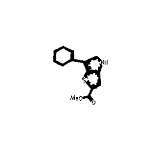 COC(=O)c1cc2[nH]cc(C3CCCCC3)c2s1